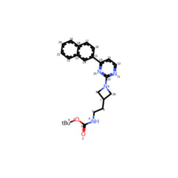 CC(C)(C)OC(=O)NCCC1CN(c2nccc(-c3ccc4ccccc4c3)n2)C1